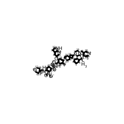 CC(C)c1ccccc1[C@@H]1CN(Cc2cccnc2)CCN1C1CC2(CCN(c3cc(Oc4cnc5[nH]ccc5c4)c(C(=O)NS(=O)(=O)c4ccc(NCC5(F)CCOCC5)c([N+](=O)[O-])c4)cc3F)CC2)C1